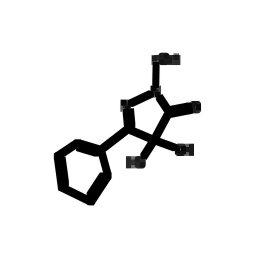 CCCCCCCCN1N=C(c2ccccc2)C(O)(O)C1=O